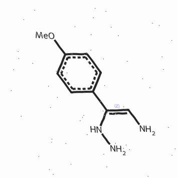 COc1ccc(/C(=C/N)NN)cc1